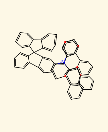 c1ccc(-c2ccccc2-c2c(-c3ccccc3)cccc2-c2ccccc2N(c2ccc3c(c2)C2(c4ccccc4-c4ccccc42)c2ccccc2-3)c2ccc3ccccc3c2)cc1